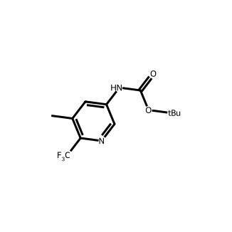 Cc1cc(NC(=O)OC(C)(C)C)cnc1C(F)(F)F